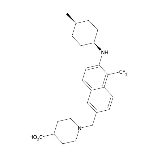 C[C@H]1CC[C@@H](Nc2ccc3cc(CN4CCC(C(=O)O)CC4)ccc3c2C(F)(F)F)CC1